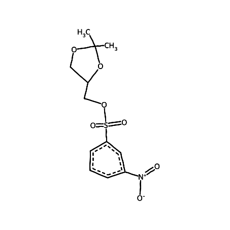 CC1(C)OCC(COS(=O)(=O)c2cccc([N+](=O)[O-])c2)O1